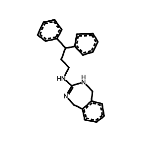 c1ccc(C(CCNC2=NCc3ccccc3CN2)c2ccccc2)cc1